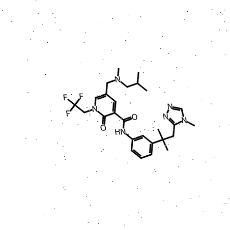 CC(C)CN(C)Cc1cc(C(=O)Nc2cccc(C(C)(C)Cc3nncn3C)c2)c(=O)n(CC(F)(F)F)c1